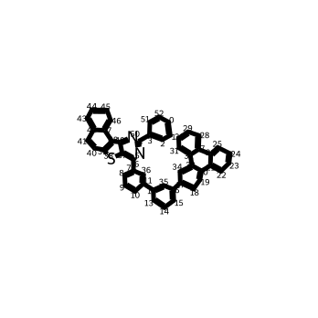 c1ccc(-c2nc(-c3cccc(-c4cccc(-c5ccc6c7ccccc7c7ccccc7c6c5)c4)c3)c3sc4ccc5ccccc5c4c3n2)cc1